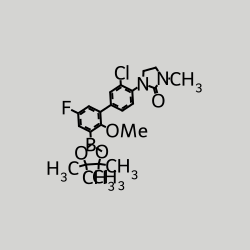 COc1c(B2OC(C)(C)C(C)(C)O2)cc(F)cc1-c1ccc(N2CCN(C)C2=O)c(Cl)c1